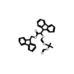 CC(C)(C)O[C]=O.O=[C]OC(C(=O)OCC1c2ccccc2-c2ccccc21)C1c2ccccc2-c2ccccc21